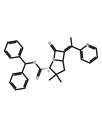 C/C(=C1\C(=O)N2C1CC(C)(C)[C@@H]2C(=O)OC(c1ccccc1)c1ccccc1)c1ccccn1